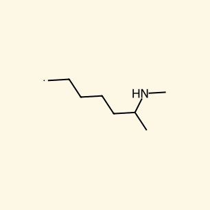 [CH2]CCCCC(C)NC